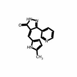 Cc1ccc(/C=C2/C(=O)NN=C2c2cccnc2)[nH]1